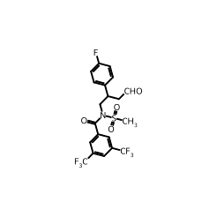 CS(=O)(=O)N(CC(CC=O)c1ccc(F)cc1)C(=O)c1cc(C(F)(F)F)cc(C(F)(F)F)c1